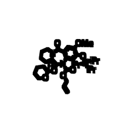 C=CCOC(=O)N1c2cc(O[Si](C(C)C)(C(C)C)C(C)C)c(OC)cc2C(=O)N2CCCC[C@H]2C1OC1CCCCO1